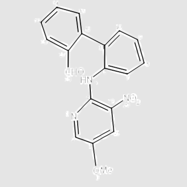 COc1cnc(Nc2ccccc2-c2ccccc2C=O)c([N+](=O)[O-])c1